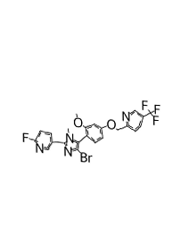 COc1cc(OCc2ccc(C(F)(F)F)cn2)ccc1-c1c(Br)nc(-c2ccc(F)nc2)n1C